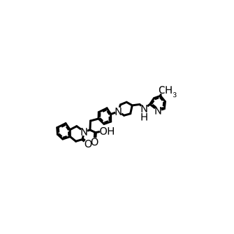 Cc1ccnc(NCC2CCN(c3ccc(CC(C(=O)O)N4Cc5ccccc5CC4=O)cc3)CC2)c1